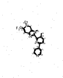 CCN1Cc2c(nc(-c3nc(-c4ccncc4)ccc3C)n2C)C=C1C(F)(F)F